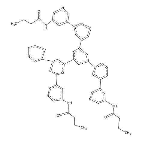 CCCC(=O)Nc1cncc(-c2cccc(-c3cc(-c4cccc(-c5cncc(NC(=O)CCC)c5)c4)cc(-c4cc(-c5cccnc5)cc(-c5cncc(NC(=O)CCC)c5)c4)c3)c2)c1